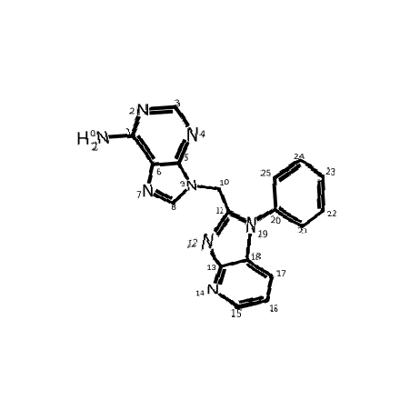 Nc1ncnc2c1ncn2Cc1nc2ncccc2n1-c1ccccc1